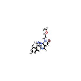 Cc1cc(C)c(-c2c(C)nn3c2nc(C)c2cc(Br)n(CCCOC(C)C)c23)c(C)c1